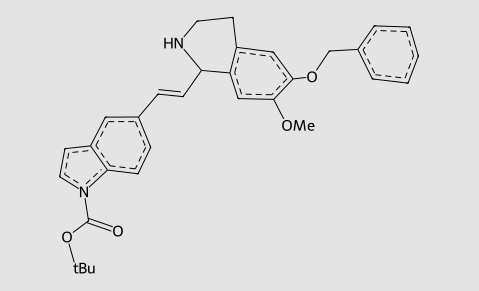 COc1cc2c(cc1OCc1ccccc1)CCNC2/C=C/c1ccc2c(ccn2C(=O)OC(C)(C)C)c1